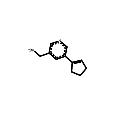 CC(C)(C)Cc1cncc(C2=CCCC2)c1